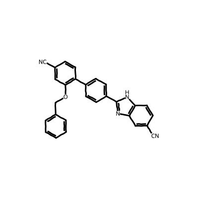 N#Cc1ccc(-c2ccc(-c3nc4cc(C#N)ccc4[nH]3)cc2)c(OCc2ccccc2)c1